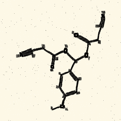 COc1ccc(C(OC(=O)CC#N)OC(=O)CC#N)cc1